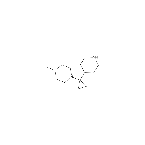 CC1CCN(C2(C3CCNCC3)CC2)CC1